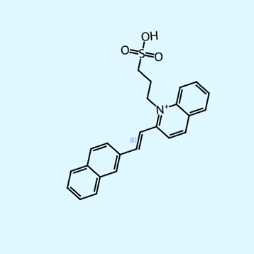 O=S(=O)(O)CCC[n+]1c(/C=C/c2ccc3ccccc3c2)ccc2ccccc21